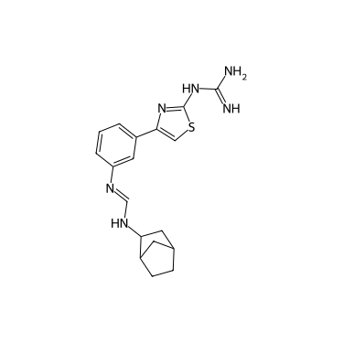 N=C(N)Nc1nc(-c2cccc(N=CNC3CC4CCC3C4)c2)cs1